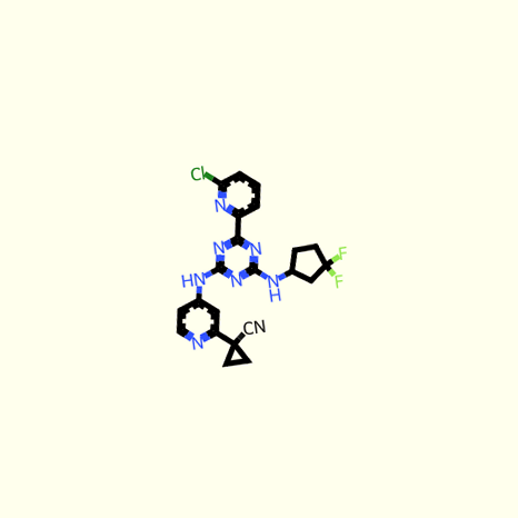 N#CC1(c2cc(Nc3nc(NC4CCC(F)(F)C4)nc(-c4cccc(Cl)n4)n3)ccn2)CC1